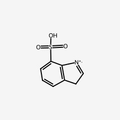 O=S(=O)(O)c1cccc2c1[N+]=CC2